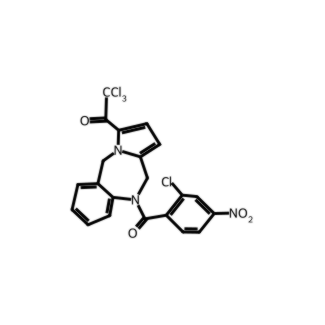 O=C(c1ccc([N+](=O)[O-])cc1Cl)N1Cc2ccc(C(=O)C(Cl)(Cl)Cl)n2Cc2ccccc21